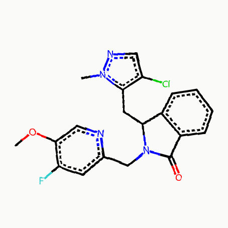 COc1cnc(CN2C(=O)c3ccccc3C2Cc2c(Cl)cnn2C)cc1F